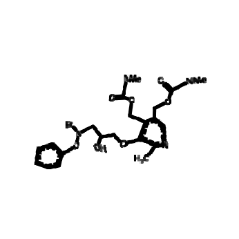 CCN(CC(O)COc1c(C)ncc(COC(=O)NC)c1COC(=O)NC)Oc1ccccc1